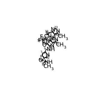 CCS(=N)(=O)c1ccc(CNc2nc3c(C)nc(-c4c(C)ncnc4C4CC4)nc3n([C@@H](C)C(F)(F)F)c2=O)nc1